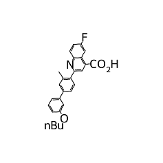 CCCCOc1cccc(-c2ccc(-c3cc(C(=O)O)c4cc(F)ccc4n3)c(C)c2)c1